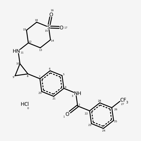 Cl.O=C(Nc1ccc(C2CC2NC2CCS(=O)(=O)CC2)cc1)c1cccc(C(F)(F)F)c1